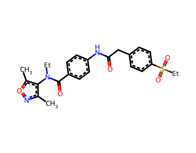 CCN(C(=O)c1ccc(NC(=O)Cc2ccc(S(=O)(=O)CC)cc2)cc1)c1c(C)noc1C